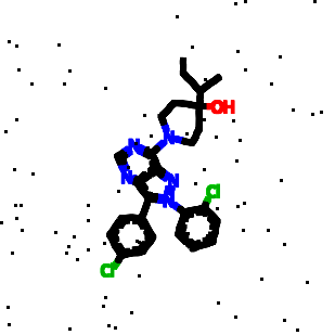 CCC(C)C1(O)CCN(c2ncnc3c(-c4ccc(Cl)cc4)n(-c4ccccc4Cl)nc23)CC1